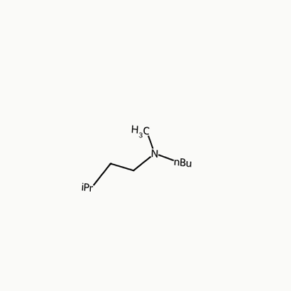 [CH2]CCCN(C)CCC(C)C